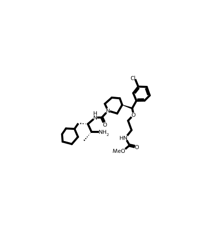 COC(=O)NCCOC(c1cccc(Cl)c1)[C@@H]1CCCN(C(=O)N[C@@H](CC2CCCCC2)[C@@H](C)N)C1